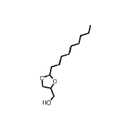 CCCCCCCCCC1OCC(CO)O1